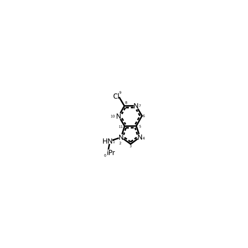 CC(C)Nn1cnc2cnc(Cl)nc21